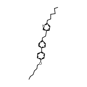 CCCCCCOc1ccc(-c2ccc(CCc3ccc(CCCCCC)nc3)cc2)cc1